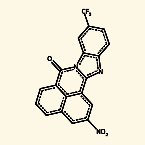 O=c1c2cccc3cc([N+](=O)[O-])cc(c32)c2nc3ccc(C(F)(F)F)cc3n12